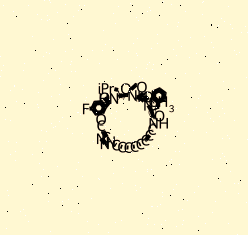 CC(C)C[C@H]1NC(=O)c2ccc(F)cc2OCc2cn(nn2)CCCCCCCCNC(=O)[C@H](Cc2ccccc2)N(C)C(=O)[C@H]2COCCN2C1=O